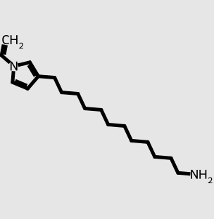 C=Cn1ccc(CCCCCCCCCCCCN)c1